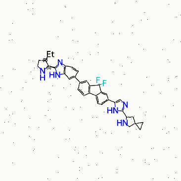 CC[C@@H]1CCN[C@@H]1c1nc2ccc(-c3ccc4c(c3)C(F)(F)c3cc(-c5cnc(C6CC7(CC7)CN6)[nH]5)ccc3-4)cc2[nH]1